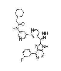 O=C(CC1CCCCC1)Nc1cncc(-c2cc3c(-c4nc5c(-c6cccc(F)c6)nccc5[nH]4)n[nH]c3cn2)c1